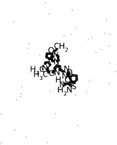 C=CC(=O)N1CCN(c2cc(O[C@@H](C)[C@@H]3CCCN3C)nc(-c3noc([C@@]4(C)CCCc5sc(N)c(C#N)c54)n3)c2)CC12CCCC2